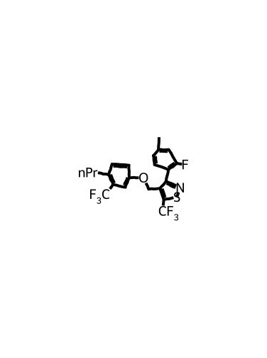 CCCc1ccc(OCc2c(-c3ccc(C)cc3F)nsc2C(F)(F)F)cc1C(F)(F)F